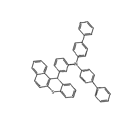 c1ccc(-c2ccc(N(c3ccc(-c4ccccc4)cc3)c3cccc(C4c5ccccc5Sc5ccc6ccccc6c54)c3)cc2)cc1